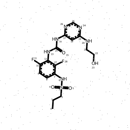 CCCS(=O)(=O)Nc1ccc(F)c(NC(=O)Nc2cc(NCCO)ncn2)c1F